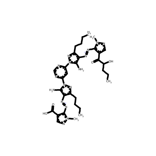 CCCCc1nn(-c2cc(-n3nc(CCCC)c(/N=N/c4c(C(=O)C(O)CCC)cnn4C)c3N)ncn2)c(N)c1/N=N/c1c(C(=O)O)cnn1C